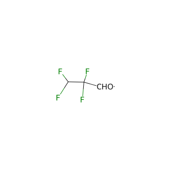 O=[C]C(F)(F)C(F)F